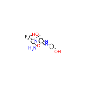 CC(C)(O)c1cc2nn(C3CCC(CO)CC3)cc2cc1N1C=C(C(F)(F)F)C=CC1C(N)=O